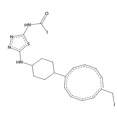 O=C(I)Nc1nnc(NC2CCC(c3ccccc(CI)cccc3)CC2)s1